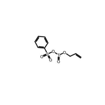 C=CC[O][Ti](=[O])[O]S(=O)(=O)c1ccccc1